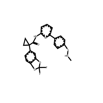 CNSc1ccc(-c2cccc(NC(=O)C3(c4ccc5c(c4)OC(F)(F)O5)CC3)n2)cc1